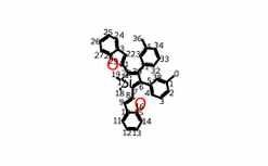 Cc1cccc(C2=C(c3cc4ccccc4o3)[Si](C)(C)C(c3cc4ccccc4o3)=C2c2cccc(C)c2)c1